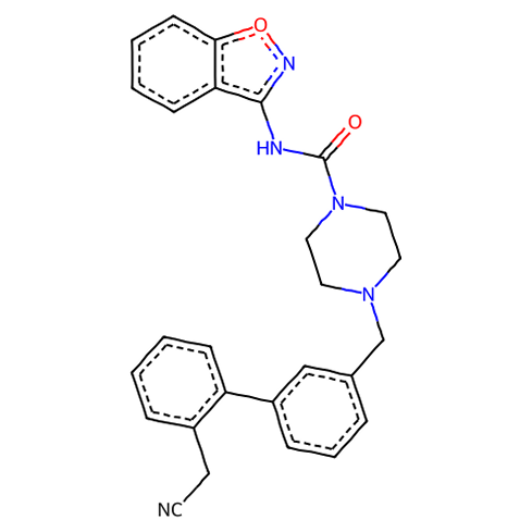 N#CCc1ccccc1-c1cccc(CN2CCN(C(=O)Nc3noc4ccccc34)CC2)c1